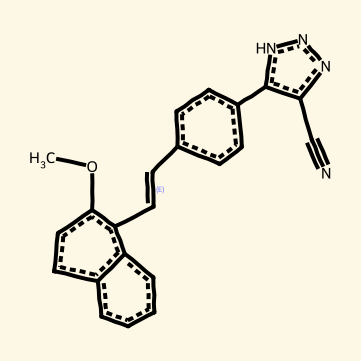 COc1ccc2ccccc2c1/C=C/c1ccc(-c2[nH]nnc2C#N)cc1